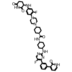 O=C1CCC(Nc2ccc(N3CCN([C@H]4CC[C@H](C(=O)N[C@H]5CC[C@H](Nc6ncc(F)c(-c7cccc(-c8ccc[nH]c8=O)c7)n6)CC5)CC4)CC3)c(F)c2)C(=O)N1